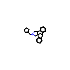 C1=C(CN2CC3c4ccccc4C4CC3(C2)c2ccccc24)CCC1